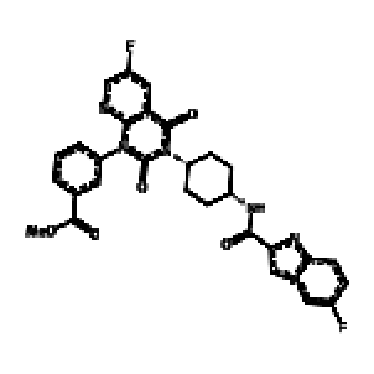 COC(=O)c1cccc(-n2c(=O)n([C@H]3CC[C@@H](NC(=O)c4cn5cc(F)ccc5n4)CC3)c(=O)c3cc(F)cnc32)c1